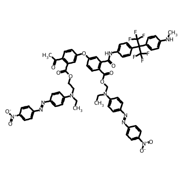 CCN(CCOC(=O)c1cc(Oc2ccc(C(=O)OCN(CC)c3ccc(/N=N/c4ccc([N+](=O)[O-])cc4)cc3)c(C(=O)Nc3ccc(C(c4ccc(NC)cc4)(C(F)(F)F)C(F)(F)F)cc3)c2)ccc1C(C)=O)c1ccc(/N=N/c2ccc([N+](=O)[O-])cc2)cc1